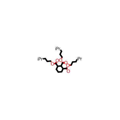 CC(C)CCCOC(=O)C1CCCC(C(=O)OCCCC(C)C)C1C(=O)OCCCC(C)C